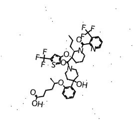 CCC[C@H]1N(C(=O)c2ncccc2C(F)(F)F)CCC[C@@]1(Oc1csc(C(F)(F)F)c1)C(=O)N1CCC(O)(c2ccccc2O[C@H](C)CCCC(=O)O)CC1